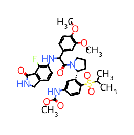 COC(=O)Nc1ccc(S(=O)(=O)C(C)C)c([C@H]2CCCN2C(=O)C(Nc2ccc3c(c2F)C(=O)NC3)c2ccc(OC)c(OC)c2)c1